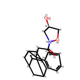 CC1C2CC3CC1CC(C2)C3(CC(=O)N1C[C@@H](O)CO1)c1ccccc1